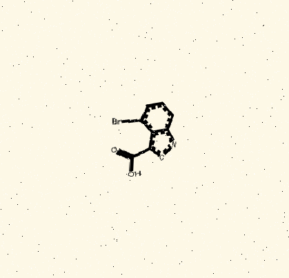 O=C(O)c1onc2cccc(Br)c12